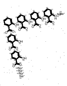 O=C([O-])c1ccccc1O.O=C([O-])c1ccccc1O.O=C([O-])c1ccccc1O.O=C([O-])c1ccccc1O.O=C([O-])c1ccccc1O.O=C([O-])c1ccccc1O.[Na+].[Na+].[Na+].[Na+].[Na+].[Na+]